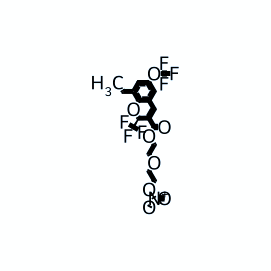 CCc1cc(OC(F)(F)F)cc2c1O[C@H](C(F)(F)F)C(C(=O)OCCOCCO[N+](=O)[O-])=C2